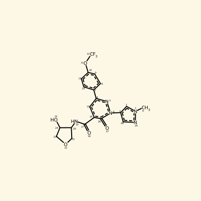 Cn1cc(-n2nc(-c3ccc(OC(F)(F)F)cc3)cc(C(=O)NC3COCC3O)c2=O)cn1